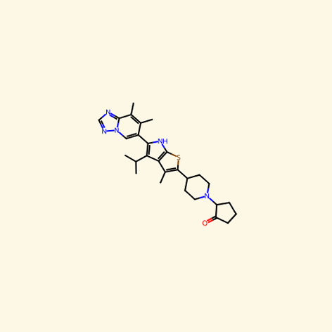 Cc1c(-c2[nH]c3sc(C4CCN(C5CCCC5=O)CC4)c(C)c3c2C(C)C)cn2ncnc2c1C